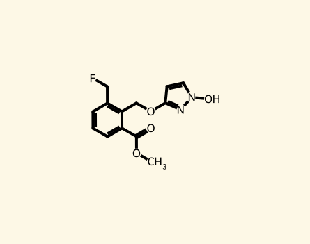 COC(=O)c1cccc(CF)c1COc1ccn(O)n1